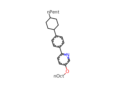 CCCCCCCCOc1ccc(-c2ccc(C3CCC(CCCCC)CC3)cc2)nc1